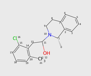 C[C@H]1c2ccccc2CCN1C(O)Cc1c(Cl)cccc1C(F)(F)F